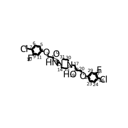 O=C(COc1ccc(Cl)c(F)c1)NN1CCN(C[C@H](O)COc2ccc(Cl)c(F)c2)CC1